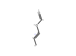 C/C=C/OC=O